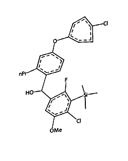 CCCc1cc(Oc2ccc(Cl)cc2)ccc1C(O)c1cc(OC)c(Cl)c([Si](C)(C)C)c1F